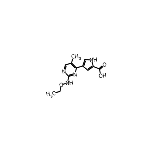 CCONc1ncc(C)c(-c2c[nH]c(C(=O)O)c2)n1